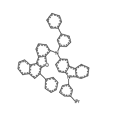 CC(C)c1cccc(-n2c3ccccc3c3cc(N(c4cccc(-c5ccccc5)c4)c4cccc5c4oc4c(-c6ccccc6)cc6ccccc6c45)ccc32)c1